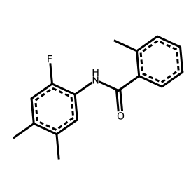 Cc1cc(F)c(NC(=O)c2ccccc2C)cc1C